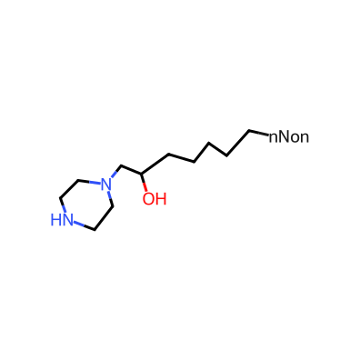 CCCCCCCCCCCCCCC(O)CN1CCNCC1